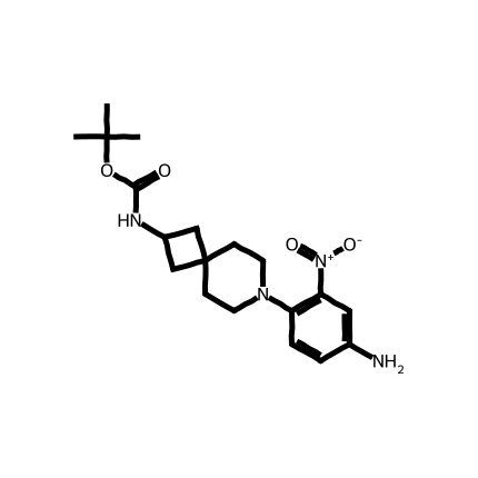 CC(C)(C)OC(=O)NC1CC2(CCN(c3ccc(N)cc3[N+](=O)[O-])CC2)C1